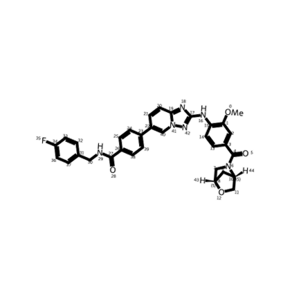 COc1cc(C(=O)N2C[C@@H]3C[C@H]2CO3)ccc1Nc1nc2ccc(-c3ccc(C(=O)NCc4ccc(F)cc4)cc3)cn2n1